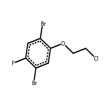 Fc1cc(Br)c(OCCCl)cc1Br